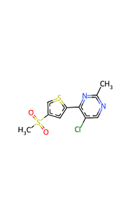 Cc1ncc(Cl)c(-c2cc(S(C)(=O)=O)cs2)n1